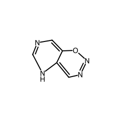 C1=NC=C2ON=NC=C2N1